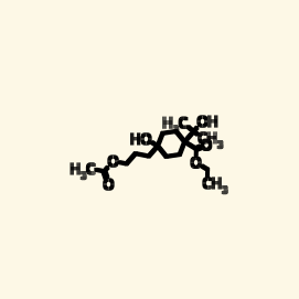 CCOC(=O)C1(C(C)(C)O)CCC(O)(CCCOC(C)=O)CC1